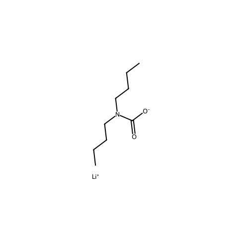 CCCCN(CCCC)C(=O)[O-].[Li+]